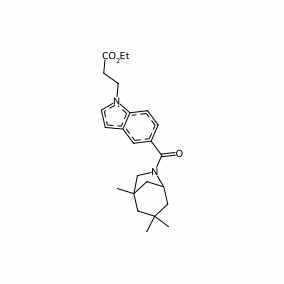 CCOC(=O)CCn1ccc2cc(C(=O)N3CC4(C)CC3CC(C)(C)C4)ccc21